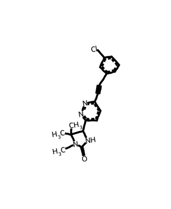 CN1C(=O)NC(c2ccc(C#Cc3cccc(Cl)c3)nn2)C1(C)C